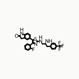 N[C@H](CNc1nc(-c2ccccc2F)c(-c2ccc3c(c2)CC(=O)N3)s1)Cc1ccc(C(F)(F)F)cc1